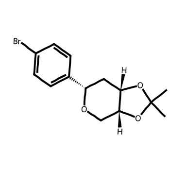 CC1(C)O[C@H]2C[C@@H](c3ccc(Br)cc3)OC[C@H]2O1